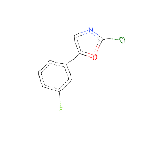 Fc1cccc(-c2cnc(Cl)o2)c1